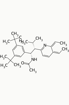 C/C=c1/ccc([C@@H](C(C)C)[C@H](NC(C)=O)c2cc(C(C)(C)C)cc(C(C)(C)C)c2)n/c1=C/C